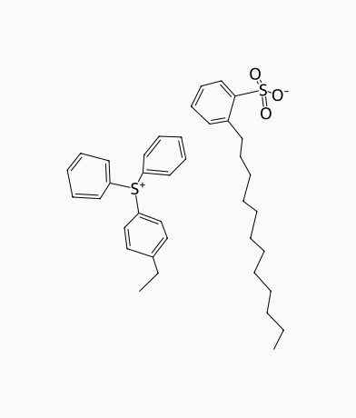 CCCCCCCCCCCCc1ccccc1S(=O)(=O)[O-].CCc1ccc([S+](c2ccccc2)c2ccccc2)cc1